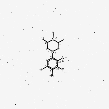 CC1CN(c2cc(F)c(Br)c(F)c2N)CC(C)N1C